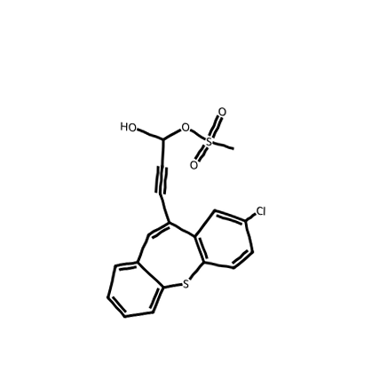 CS(=O)(=O)OC(O)C#CC1=Cc2ccccc2Sc2ccc(Cl)cc21